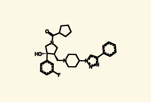 O=C(C1CCCC1)N1C[C@@H](CN2CCC(n3cc(-c4ccccc4)nn3)CC2)[C@@](O)(c2cccc(F)c2)C1